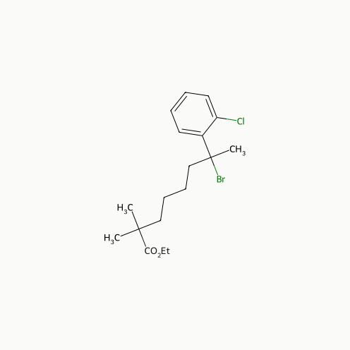 CCOC(=O)C(C)(C)CCCCC(C)(Br)c1ccccc1Cl